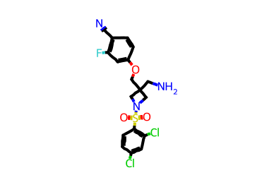 N#Cc1ccc(OCC2(CN)CN(S(=O)(=O)c3ccc(Cl)cc3Cl)C2)cc1F